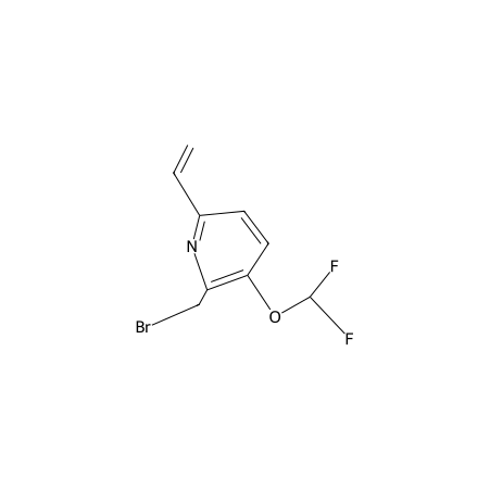 C=Cc1ccc(OC(F)F)c(CBr)n1